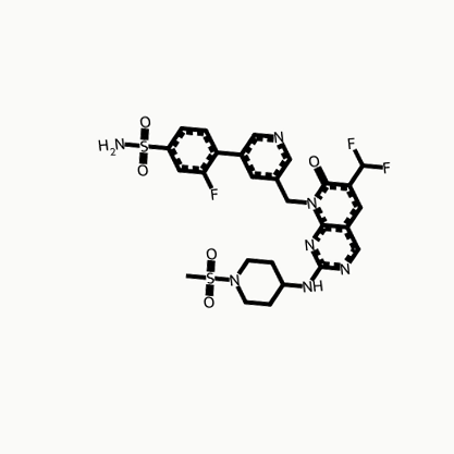 CS(=O)(=O)N1CCC(Nc2ncc3cc(C(F)F)c(=O)n(Cc4cncc(-c5ccc(S(N)(=O)=O)cc5F)c4)c3n2)CC1